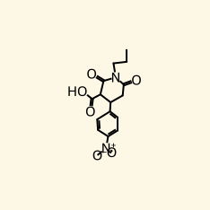 CCCN1C(=O)CC(c2ccc([N+](=O)[O-])cc2)C(C(=O)O)C1=O